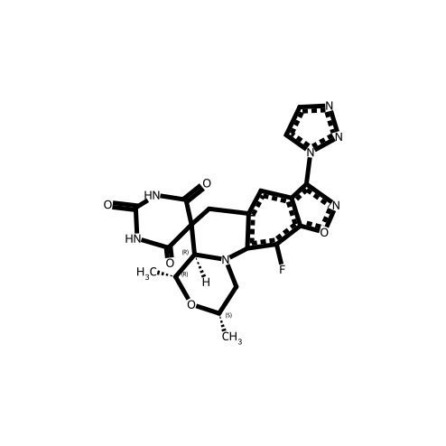 C[C@H]1CN2c3c(cc4c(-n5ccnn5)noc4c3F)CC3(C(=O)NC(=O)NC3=O)[C@@H]2[C@@H](C)O1